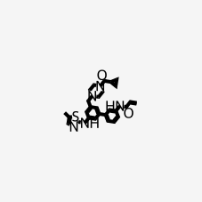 C=CC(=O)Nc1cccc(-c2cc(CN3CCN(C(=O)C4CC4)CC3)cc(Nc3ncc(C)s3)c2)c1